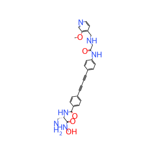 COc1cnccc1CNCC(=O)Nc1ccc(C#CC#Cc2ccc(C(=O)N[C@@H](CN)C(=O)NO)cc2)cc1